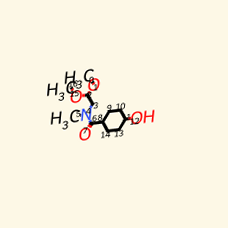 COC(CN(C)C(=O)C1CCC(O)CC1)OC